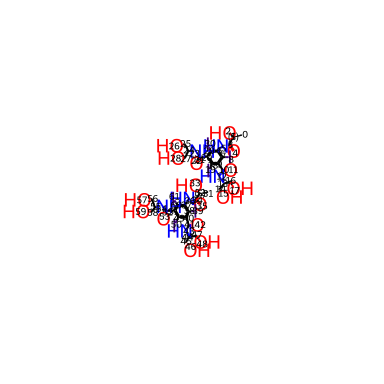 C[C@H](O)C(=O)Nc1c(I)c(C(=O)NC(CO)CO)c(I)c(C(=O)NC(CO)CO)c1I.C[C@H](O)C(=O)Nc1c(I)c(C(=O)NC(CO)CO)c(I)c(C(=O)NC(CO)CO)c1I